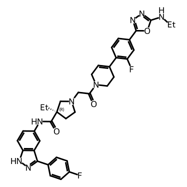 CCNc1nnc(-c2ccc(C3=CCN(C(=O)CN4CC[C@@](CC)(C(=O)Nc5ccc6[nH]nc(-c7ccc(F)cc7)c6c5)C4)CC3)c(F)c2)o1